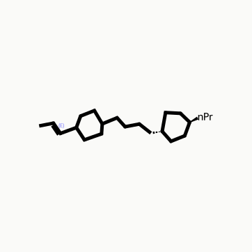 C/C=C/C1CCC(CCCC[C@H]2CC[C@H](CCC)CC2)CC1